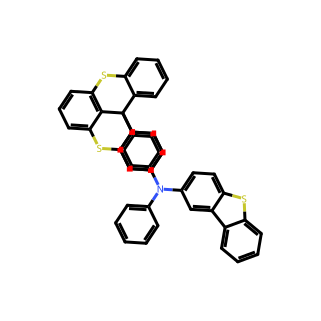 c1ccc(N(c2ccc(C34c5ccccc5Sc5cccc(c53)Sc3ccccc34)cc2)c2ccc3sc4ccccc4c3c2)cc1